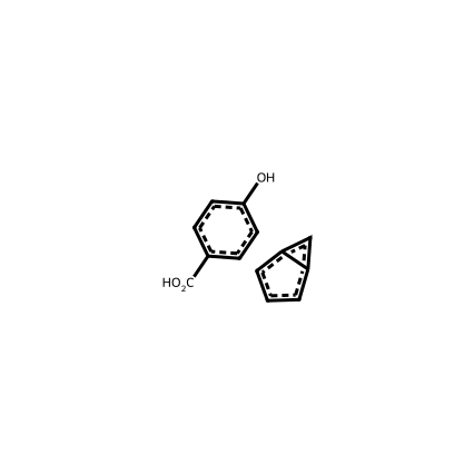 O=C(O)c1ccc(O)cc1.c1cc2cc-2c1